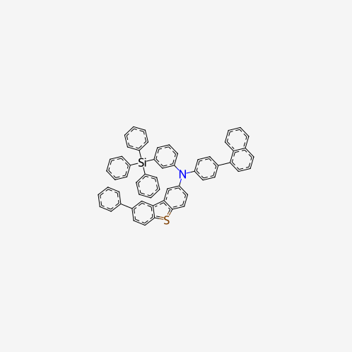 c1ccc(-c2ccc3sc4ccc(N(c5ccc(-c6cccc7ccccc67)cc5)c5cccc([Si](c6ccccc6)(c6ccccc6)c6ccccc6)c5)cc4c3c2)cc1